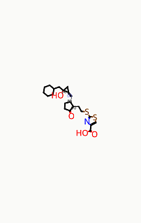 O=C(O)c1csc(SCC[C@H]2C(=O)CC[C@@H]2/C=C2/C[C@@]2(O)CC2CCCCC2)n1